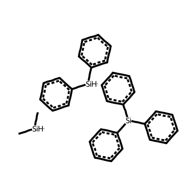 C[SiH]C.c1ccc([SiH]c2ccccc2)cc1.c1ccc([Si](c2ccccc2)c2ccccc2)cc1